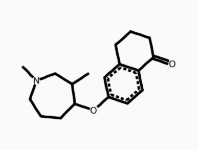 CC1CN(C)CCCC1Oc1ccc2c(c1)CCCC2=O